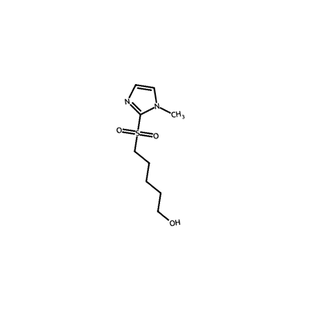 Cn1ccnc1S(=O)(=O)CCCCCO